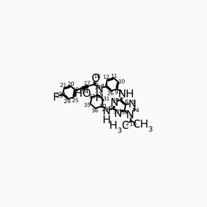 CC(C)n1cnc2c(Nc3cccc(NC(=O)C#Cc4ccc(F)cc4)c3)nc(NC3CCC(O)CC3)nc21